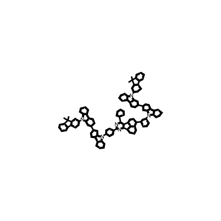 CC1(C)c2ccccc2-c2ccc(-n3c4ccccc4c4ccc(-c5ccc6c7ccccc7n(-c7ccc(-c8nc(-c9ccccc9)c9c(n8)-c8cccc%10c(-c%11cccc(-n%12c%13ccccc%13c%13ccc(-c%14ccc%15c%16ccccc%16n(-c%16ccc%17c(c%16)C(C)(C)c%16ccccc%16-%17)c%15c%14)cc%13%12)c%11)ccc-9c8%10)cc7)c6c5)cc43)cc21